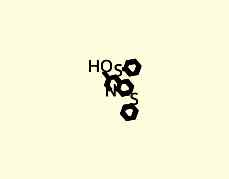 OCc1cnc2cc(Sc3ccccc3)ccc2c1Sc1ccccc1